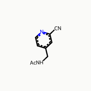 CC(=O)NCc1ccnc(C#N)c1